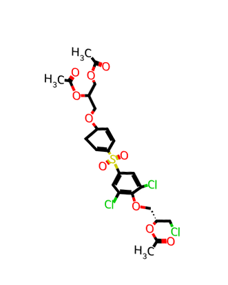 CC(=O)OCC(COC1C=CC(S(=O)(=O)c2cc(Cl)c(OC[C@H](CCl)OC(C)=O)c(Cl)c2)=CC1)OC(C)=O